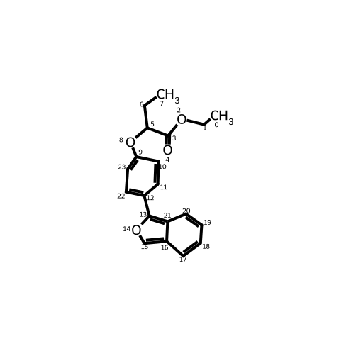 CCOC(=O)C(CC)Oc1ccc(-c2occ3ccccc23)cc1